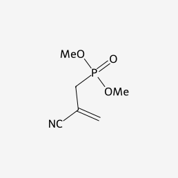 C=C(C#N)CP(=O)(OC)OC